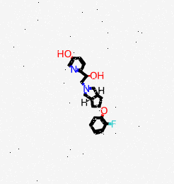 Oc1ccc([C@@H](O)CN2C[C@H]3C[C@H](Oc4ccc#cc4F)C[C@H]3C2)nc1